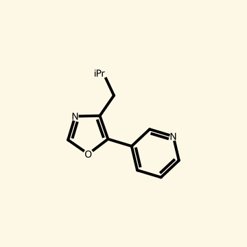 CC(C)Cc1ncoc1-c1cccnc1